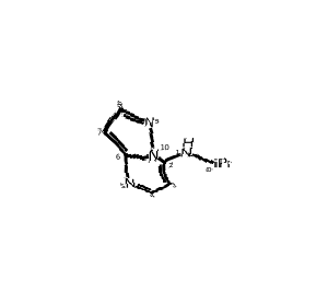 CC(C)Nc1ccnc2ccnn12